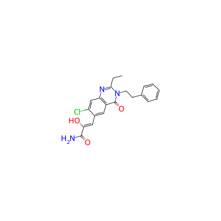 CCc1nc2cc(Cl)c(C=C(O)C(N)=O)cc2c(=O)n1CCc1ccccc1